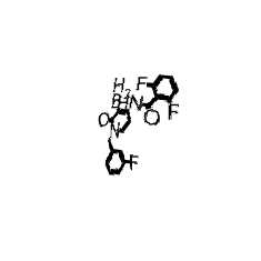 Bc1c(NC(=O)c2c(F)cccc2F)ccn(Cc2cccc(F)c2)c1=O